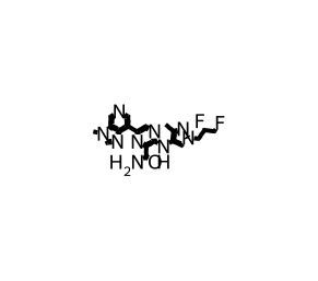 Cc1nn(C[C@@H](F)CF)cc1Nc1ncc(-c2cncc3c2ncn3C)nc1C(N)=O